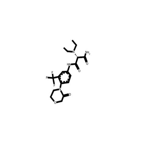 CCN(CC)[C@H](C(N)=O)C(=O)Nc1ccc(N2CCOCC2=O)c(C(F)(F)F)c1